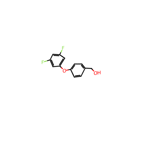 OCc1ccc(Oc2cc(F)cc(F)c2)cc1